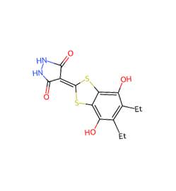 CCc1c(O)c2c(c(O)c1CC)SC(=C1C(=O)NNC1=O)S2